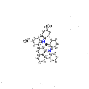 CC(C)(C)c1ccc2c(c1)c1cc(C(C)(C)C)cc3c1n2B1c2ccccc2N(c2ccccc2)c2c1c-3cc1ccccc21